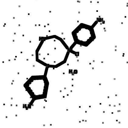 Nc1ccc(N2CCNCC[N+](Cl)(c3ccc(N)cc3)CC2)cc1.O